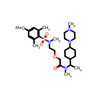 COc1cc(C)c(S(=O)(=O)N(C)CCOCC(=O)N(C)C(C)C2CCC(N3CCN(C)CC3)CC2)c(C)c1